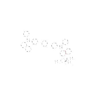 C[Si](C)(C)c1ccc(N(c2ccc(-c3ccc(-c4ccc(N(c5ccccc5)c5cccc6ccccc56)cc4)cc3)cc2)c2ccccc2-c2ccccc2)cc1